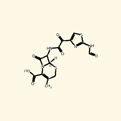 CC1=C(C(=O)O)N2C(=O)C(NC(=O)C(=O)c3csc(NC=O)n3)[C@@H]2SC1